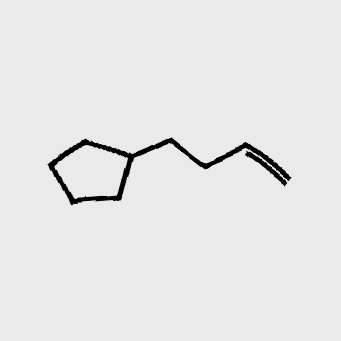 C=CCCC1CCCC1